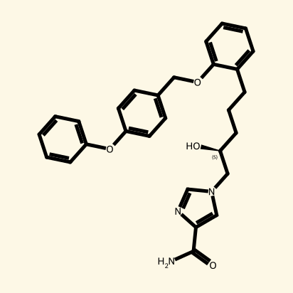 NC(=O)c1cn(C[C@@H](O)CCCc2ccccc2OCc2ccc(Oc3ccccc3)cc2)cn1